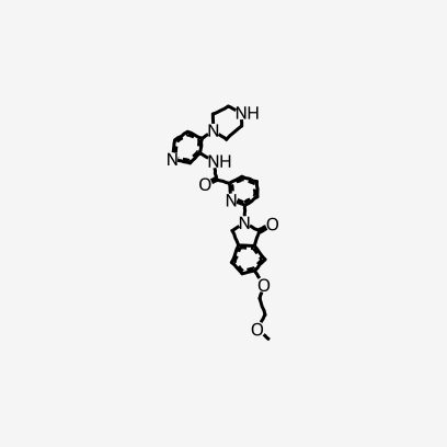 COCCOc1ccc2c(c1)C(=O)N(c1cccc(C(=O)Nc3cnccc3N3CCNCC3)n1)C2